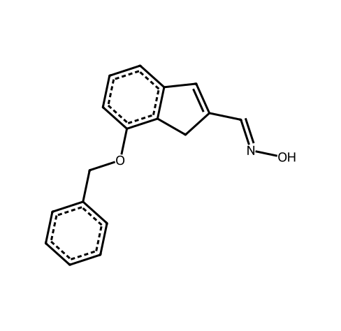 ON=CC1=Cc2cccc(OCc3ccccc3)c2C1